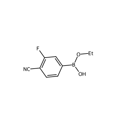 CCOB(O)c1ccc(C#N)c(F)c1